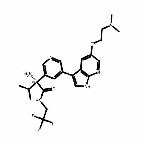 CC(C)[C@](N)(C(=O)NCC(F)(F)F)c1cncc(-c2c[nH]c3ncc(OCCN(C)C)cc23)c1